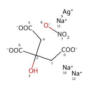 O=C([O-])CC(O)(CC(=O)[O-])C(=O)[O-].O=[N+]([O-])[O-].[Ag+].[Na+].[Na+].[Na+]